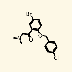 CN(C)CC(=O)c1cc(Br)ccc1OCc1ccc(Cl)cc1